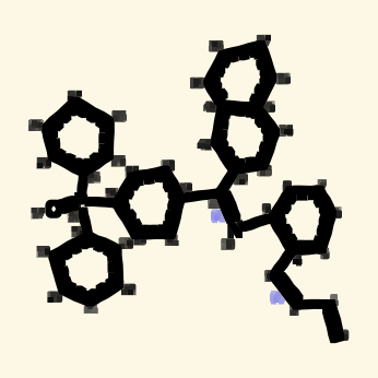 C=C/C=C\c1ccccc1/N=C(/c1ccc(P(=O)(c2ccccc2)c2ccccc2)cc1)c1ccc2ccccc2c1